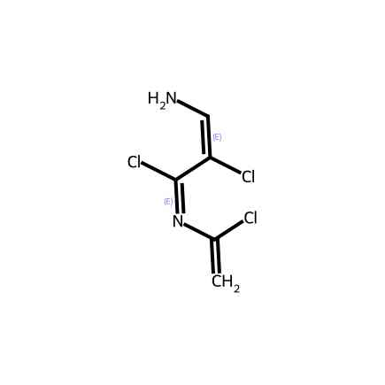 C=C(Cl)/N=C(Cl)\C(Cl)=C/N